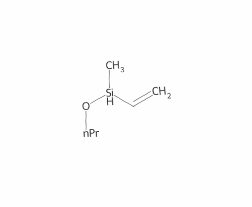 C=C[SiH](C)OCCC